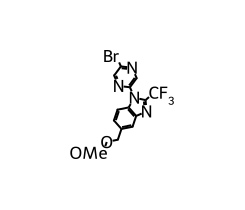 COOCc1ccc2c(c1)nc(C(F)(F)F)n2-c1cnc(Br)cn1